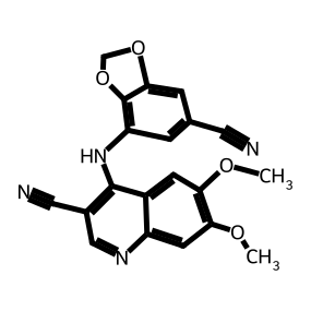 COc1cc2ncc(C#N)c(Nc3cc(C#N)cc4c3OCO4)c2cc1OC